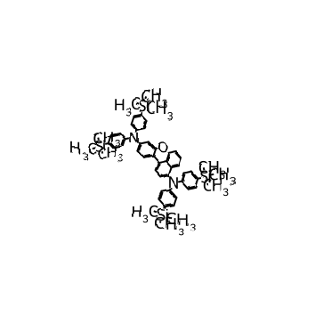 C[Si](C)(C)c1ccc(N(c2ccc([Si](C)(C)C)cc2)c2ccc3c(c2)Oc2cccc4c(N(c5ccc([Si](C)(C)C)cc5)c5ccc([Si](C)(C)C)cc5)ccc-3c24)cc1